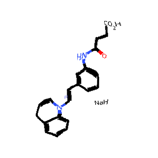 O=C(O)CCC(=O)Nc1cccc(/C=C/N2C=CCc3ccccc32)c1.[NaH]